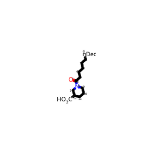 CCCCCCCCCCCCCCCC(=O)N1CCCC(C(=O)O)C1